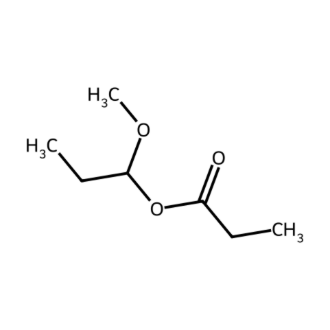 CCC(=O)OC(CC)OC